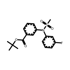 CC(C)(C)OC(=O)c1cccc(N(c2cccc(F)c2)S(C)(=O)=O)c1